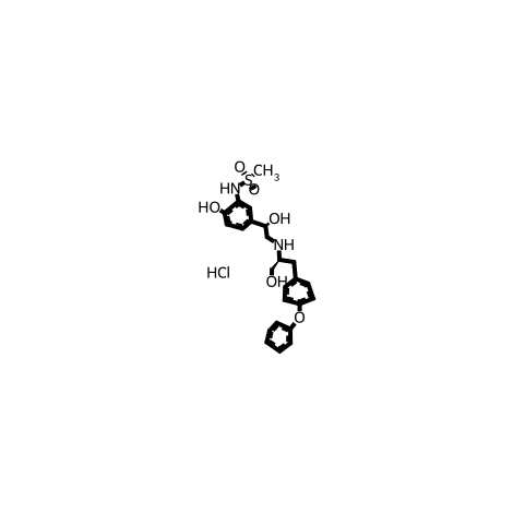 CS(=O)(=O)Nc1cc([C@@H](O)CN[C@H](CO)Cc2ccc(Oc3ccccc3)cc2)ccc1O.Cl